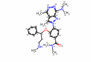 CNCCC(Oc1cc(C(=O)N(C)C)ccc1-n1nc2c(N(C)C)nnc(C)c2c1C)c1ccccc1